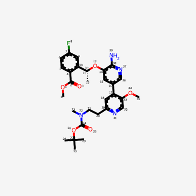 COC(=O)c1ccc(F)cc1[C@@H](C)Oc1cc(-c2cc(CCN(C)C(=O)OC(C)(C)C)ncc2OC)cnc1N